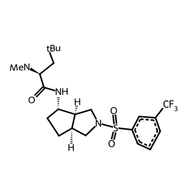 CN[C@@H](CC(C)(C)C)C(=O)N[C@H]1CC[C@@H]2CN(S(=O)(=O)c3cccc(C(F)(F)F)c3)C[C@@H]21